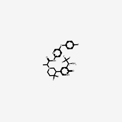 CC(C(=O)Nc1ccc(Oc2ccc(F)cc2)cn1)N1CCC(F)(F)C(c2c[nH]c(=O)c([C@H](N)C(F)(F)F)c2)C1